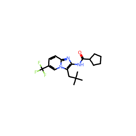 CC(C)(C)Cc1c(NC(=O)C2CCCC2)nc2ccc(C(F)(F)F)cn12